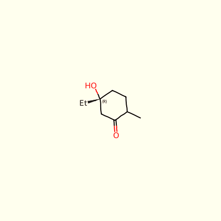 CC[C@@]1(O)CCC(C)C(=O)C1